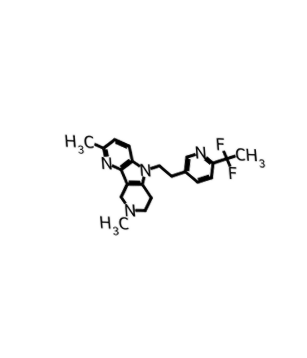 Cc1ccc2c(n1)c1c(n2CCc2ccc(C(C)(F)F)nc2)CCN(C)C1